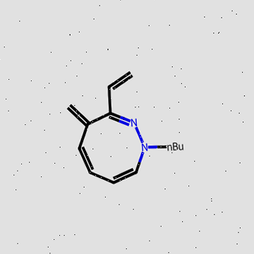 C=C/C1=N/N(CCCC)/C=C\C=C/C1=C